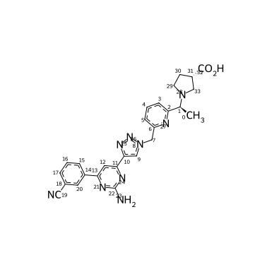 C[C@@H](c1cccc(Cn2cc(-c3cc(-c4cccc(C#N)c4)nc(N)n3)nn2)n1)N1CC[C@H](C(=O)O)C1